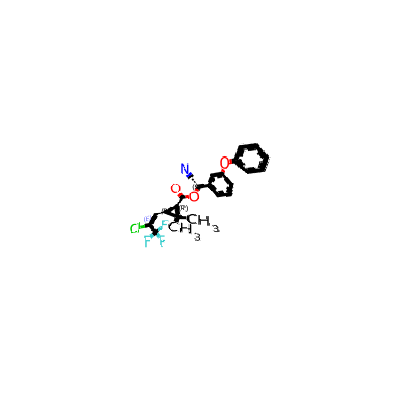 CC1(C)[C@H](C(=O)O[C@H](C#N)c2cccc(Oc3ccccc3)c2)[C@@H]1/C=C(/Cl)C(F)(F)F